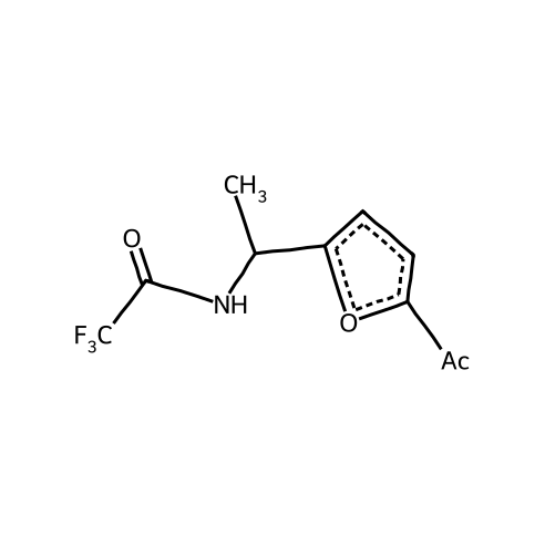 CC(=O)c1ccc(C(C)NC(=O)C(F)(F)F)o1